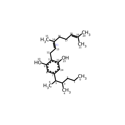 CCCC(C)C(C)c1cc(O)c(C/C=C(\C)CCC=C(C)C)c(O)c1